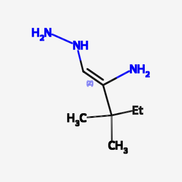 CCC(C)(C)/C(N)=C/NN